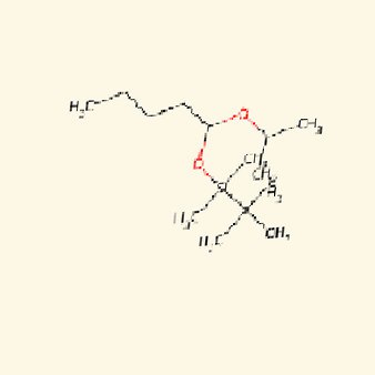 CCCCC(OC(C)C)O[Si](C)(C)C(C)(C)C